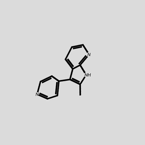 Cc1[nH]c2ncccc2c1-c1ccncc1